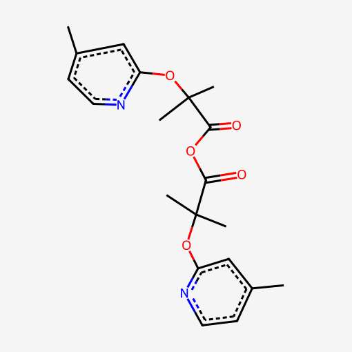 Cc1ccnc(OC(C)(C)C(=O)OC(=O)C(C)(C)Oc2cc(C)ccn2)c1